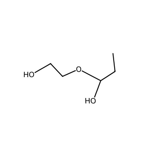 CCC(O)OCCO